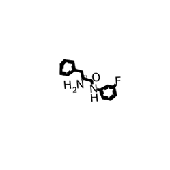 N[C@@H](Cc1ccccc1)C(=O)Nc1cccc(F)c1